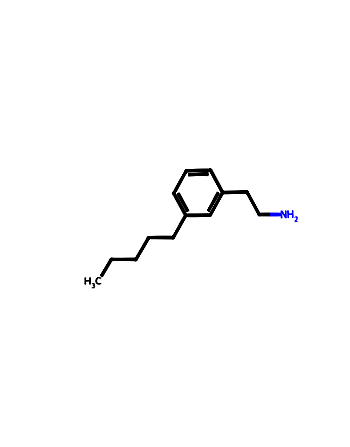 CCCCCc1cccc(CCN)c1